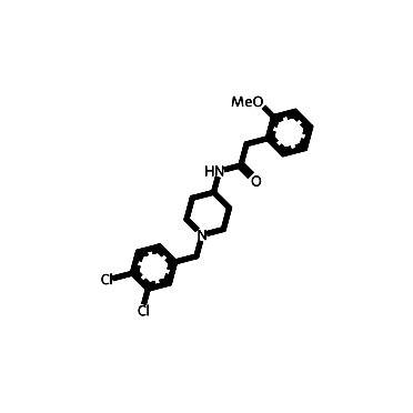 COc1ccccc1CC(=O)NC1CCN(Cc2ccc(Cl)c(Cl)c2)CC1